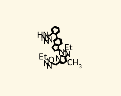 CCc1nnc(Cc2cc(C)c3nc(CC)n(C4CCc5cc(-c6ccccc6-c6nnn[nH]6)ccc54)c3n2)o1